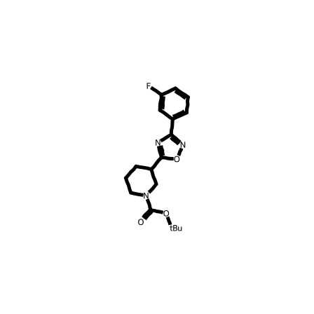 CC(C)(C)OC(=O)N1CCCC(c2nc(-c3cccc(F)c3)no2)C1